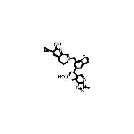 Cc1c([C@H](CC(=O)O)c2cc(CN3CCCc4cc(C5CC5)c(O)nc4C3)c3sccc3c2)cnc2c1nnn2C